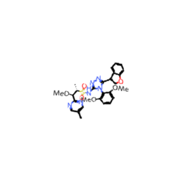 COc1cccc(OC)c1-n1c(NS(=O)(=O)[C@@H](C)[C@H](OC)c2ncc(C)cn2)nnc1C1COc2ccccc21